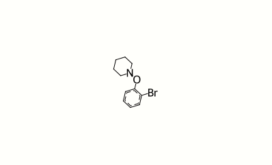 Brc1ccccc1ON1CCCCC1